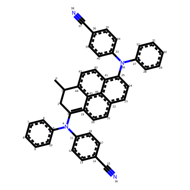 CC1CC(N(c2ccccc2)c2ccc(C#N)cc2)=c2ccc3ccc(N(c4ccccc4)c4ccc(C#N)cc4)c4ccc1c2c34